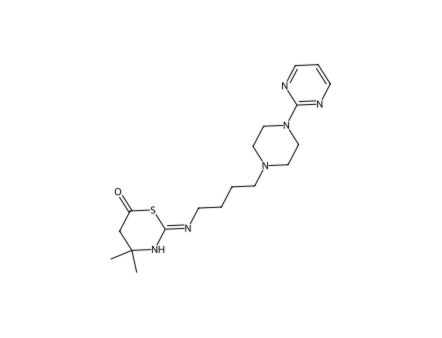 CC1(C)CC(=O)S/C(=N\CCCCN2CCN(c3ncccn3)CC2)N1